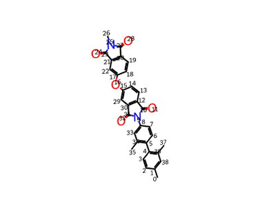 Cc1ccc(-c2ccc(N3C(=O)c4ccc(Oc5ccc6c(c5)C(=O)N(C)C6=O)cc4C3=O)cc2C)c(C)c1